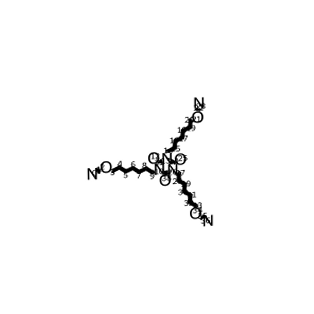 N#COCCCCCCCn1c(=O)n(CCCCCCCOC#N)c(=O)n(CCCCCCCOC#N)c1=O